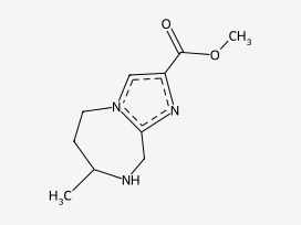 COC(=O)c1cn2c(n1)CNC(C)CC2